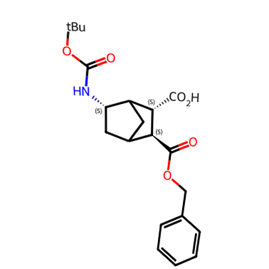 CC(C)(C)OC(=O)N[C@H]1CC2CC1[C@H](C(=O)O)[C@H]2C(=O)OCc1ccccc1